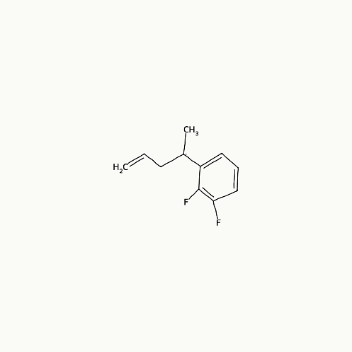 C=CC[C](C)c1cccc(F)c1F